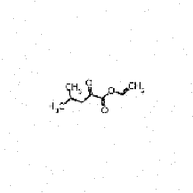 C=COC(=O)C(=O)CC(C)C